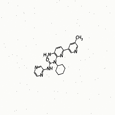 Cc1cncc(-c2ccc(N)c(N(C(=O)Nc3cnccn3)C3CCCCC3)n2)c1